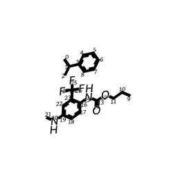 CC(C)c1ccccc1.CCCOC(=O)Nc1ccc(NC)cc1C(F)(F)F